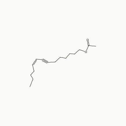 CCCC/C=C\C#CCCCCCCOC(C)=O